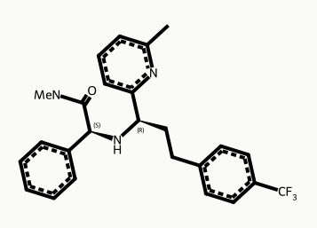 CNC(=O)[C@@H](N[C@H](CCc1ccc(C(F)(F)F)cc1)c1cccc(C)n1)c1ccccc1